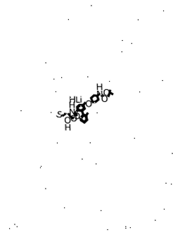 CSCC[C@H](NC(=O)c1ccc(COC2CCC(NC(=O)OC(C)(C)C)CC2)cc1-c1ccccc1C)C(=O)O.[LiH]